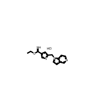 CCOC(=N)c1csc(Cn2ccc3cnccc32)c1.Cl